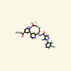 CNC(=O)c1ccc2c(c1)-c1ccnc(c1)[C@@H](NC(=O)c1cnn(-c3cccc(Cl)c3F)c1C)CCC[C@@H](C)C(=O)N2